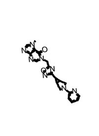 Cn1cnc2ncn(Cc3nc(C4C5CN(c6ccccn6)CC54)no3)c(=O)c21